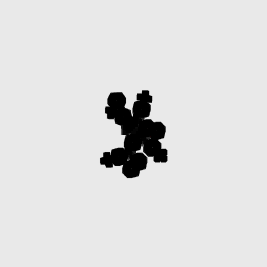 CC(C)(C)c1ccc(N(c2ccc3c(c2)N(c2ccc(C(C)(C)C)cc2-c2ccccc2)c2cccc4c2B3c2sc3cc5c(cc3c2N4c2ccc(C(C)(C)C)cc2)-c2ccccc2C5(C)C)c2cccc3ccccc23)cc1